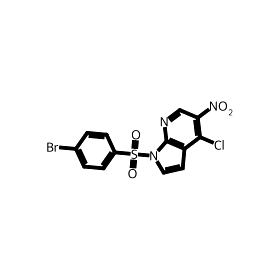 O=[N+]([O-])c1cnc2c(ccn2S(=O)(=O)c2ccc(Br)cc2)c1Cl